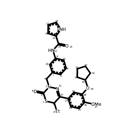 CCC1SC(=O)N(Cc2cccc(NC(=O)c3ccc[nH]3)c2)N=C1c1ccc(OC)c(OC2CCCC2)c1